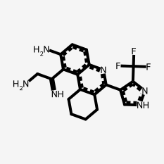 N=C(CN)c1c(N)ccc2nc(-c3c[nH]nc3C(F)(F)F)c3c(c12)CCCC3